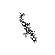 CCOC(=O)C(C)(C)C1CCN(c2ccc(-c3cc4nc(C(=O)N5CCc6ccccc6[C@H]5C)cc(C5CC5)n4n3)c(F)c2)C1